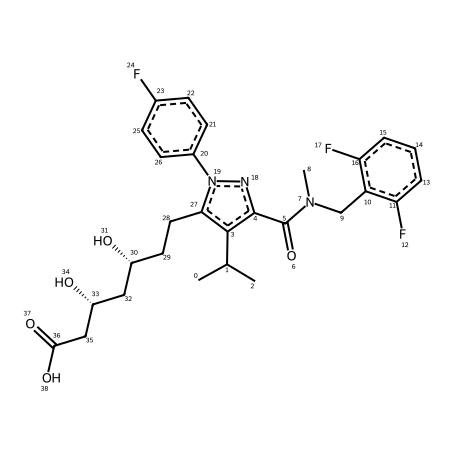 CC(C)c1c(C(=O)N(C)Cc2c(F)cccc2F)nn(-c2ccc(F)cc2)c1CC[C@@H](O)C[C@@H](O)CC(=O)O